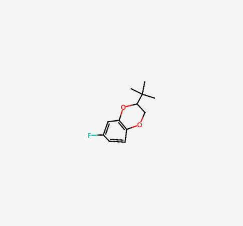 CC(C)(C)C1COc2ccc(F)cc2O1